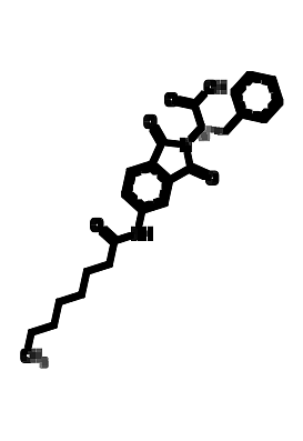 CCCCCCCC(=O)Nc1ccc2c(c1)C(=O)N([C@@H](Cc1ccccc1)C(=O)O)C2=O